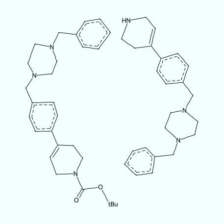 C1=C(c2ccc(CN3CCN(Cc4ccccc4)CC3)cc2)CCNC1.CC(C)(C)OC(=O)N1CC=C(c2ccc(CN3CCN(Cc4ccccc4)CC3)cc2)CC1